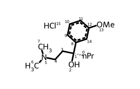 CCC[C@](O)(CCN(C)C)c1cccc(OC)c1.Cl